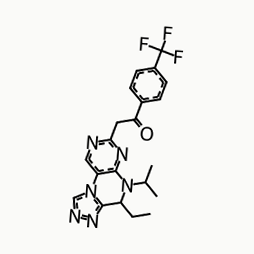 CCC1c2nncn2-c2cnc(CC(=O)c3ccc(C(F)(F)F)cc3)nc2N1C(C)C